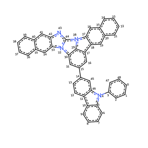 c1ccc(-n2c3ccccc3c3ccc(-c4cc5c6cc7ccccc7cc6n6c5c(c4)n4c5cc7ccccc7cc5nc46)cc32)cc1